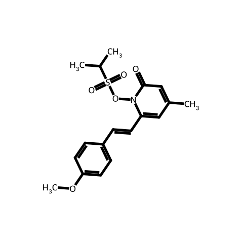 COc1ccc(C=Cc2cc(C)cc(=O)n2OS(=O)(=O)C(C)C)cc1